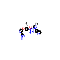 Cc1cc(NC(=O)Nc2cc(C(C)C)nn2-c2ccc3ncccc3c2)ccc1Oc1ccnc(-c2cn[nH]c2)c1